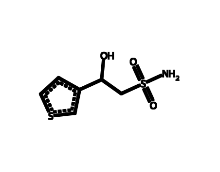 NS(=O)(=O)CC(O)c1ccsc1